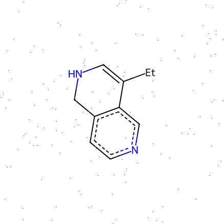 CCC1=CNCc2ccncc21